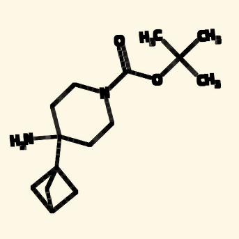 CC(C)(C)OC(=O)N1CCC(N)(C23CC(C2)C3)CC1